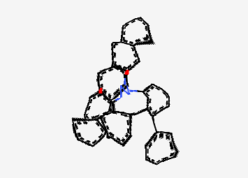 c1ccc(-c2ccccc2-c2c(-c3ccccc3)cccc2N(c2ccc3ccccc3c2)c2ccc3ccccc3c2)cc1